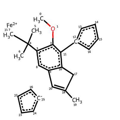 COc1c(C(C)(C)C)cc2c(c1-[c-]1cccc1)CC(C)=C2.[Fe+2].c1cc[cH-]c1